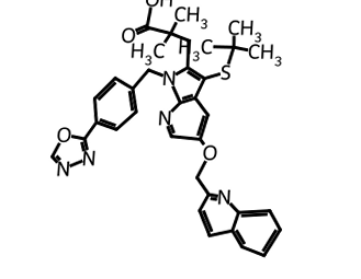 CC(C)(C)Sc1c(CC(C)(C)C(=O)O)n(Cc2ccc(-c3nnco3)cc2)c2ncc(OCc3ccc4ccccc4n3)cc12